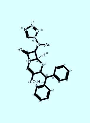 CC(=O)N(C1C(=O)N2C=C(C(=O)O)C(C(c3ccccc3)c3ccccc3)S[C@H]12)n1cnnn1